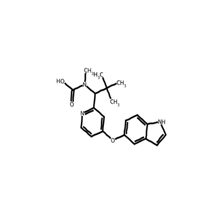 CN(C(=O)O)C(c1cc(Oc2ccc3[nH]ccc3c2)ccn1)C(C)(C)C